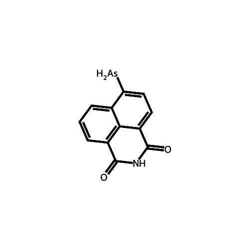 O=C1NC(=O)c2ccc([AsH2])c3cccc1c23